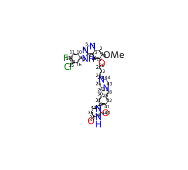 COc1cc2ncnc(Nc3ccc(F)c(Cl)c3)c2cc1OCCCN1CCN(Cc2ccc(N3CCC(=O)NC3=O)cc2)CC1